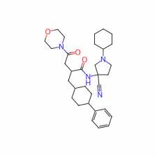 N#CC1(NC(=O)C(CC(=O)N2CCOCC2)CC2CCC(c3ccccc3)CC2)CCN(C2CCCCC2)C1